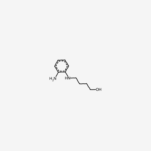 Nc1ccccc1NCCCCO